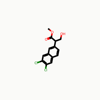 COC(=O)C(CO)c1ccc2cc(Cl)c(Cl)cc2c1